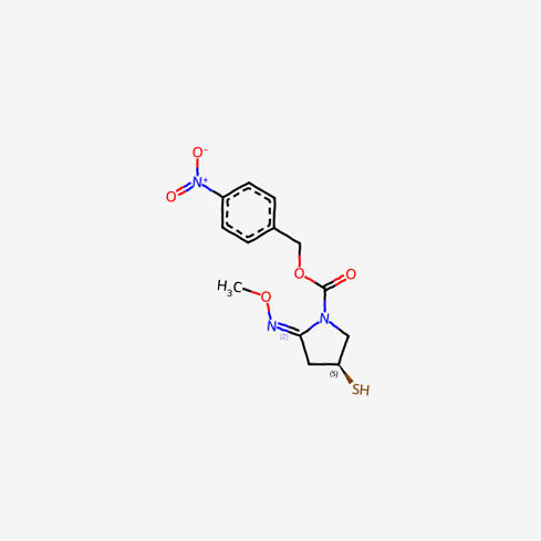 CO/N=C1/C[C@H](S)CN1C(=O)OCc1ccc([N+](=O)[O-])cc1